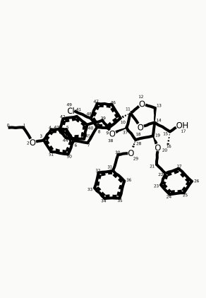 CCOc1ccc(Cc2cc([C@]34OC[C@]([C@@H](C)O)(O3)[C@@H](OCc3ccccc3)[C@H](OCc3ccccc3)[C@H]4OCc3ccccc3)ccc2Cl)cc1